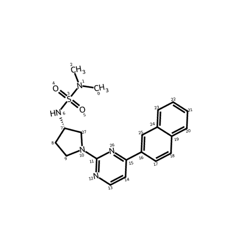 CN(C)S(=O)(=O)N[C@H]1CCN(c2nccc(-c3ccc4ccccc4c3)n2)C1